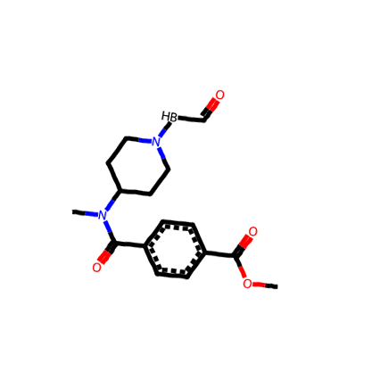 COC(=O)c1ccc(C(=O)N(C)C2CCN(BC=O)CC2)cc1